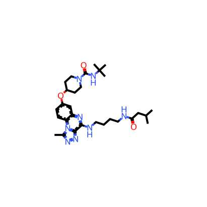 Cc1nnc2c(NCCCCNC(=O)CC(C)C)nc3cc(OC4CCN(C(=O)NC(C)(C)C)CC4)ccc3n12